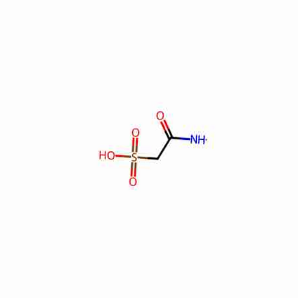 [NH]C(=O)CS(=O)(=O)O